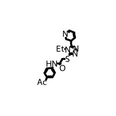 CCn1c(SCC(=O)Nc2ccc(C(C)=O)cc2)nnc1C1C=CC=NC1